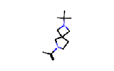 C=C(C)N1CCC2(C1)CN(C(C)(C)C)C2